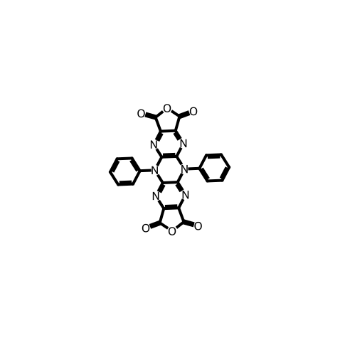 O=c1oc(=O)c2nc3c(nc12)n(-c1ccccc1)c1nc2c(=O)oc(=O)c2nc1n3-c1ccccc1